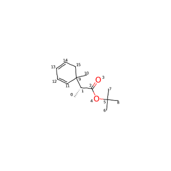 C[C@@H](C(=O)OC(C)(C)C)C1(C)C=CC=CC1